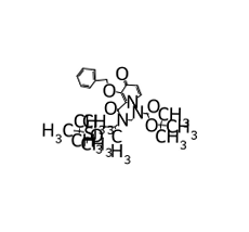 CC(CO[Si](C)(C)C(C)(C)C)N1CN(C(=O)OC(C)(C)C)n2ccc(=O)c(OCc3ccccc3)c2C1=O